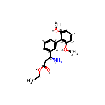 CCOC(=O)CC(N)c1cccc(-c2c(OC)cccc2OC)c1